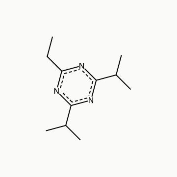 CCc1nc(C(C)C)nc(C(C)C)n1